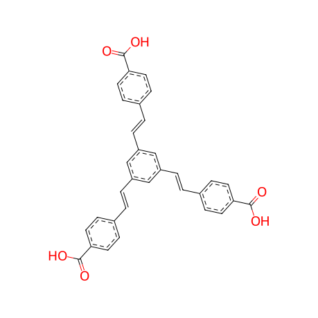 O=C(O)c1ccc(/C=C/c2cc(/C=C/c3ccc(C(=O)O)cc3)cc(/C=C/c3ccc(C(=O)O)cc3)c2)cc1